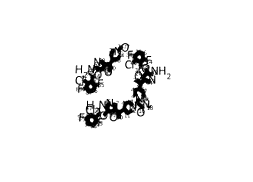 C[C@@H](Oc1c(N)ncc2c(C3=CCN(C(C(=O)N(C)C)N4CC=C(c5coc6c(O[C@H](C)c7c(F)ccc(F)c7Cl)c(N)ncc56)CC4)CC3)coc12)c1c(F)ccc(F)c1Cl.C[C@@H](Oc1c(N)ncc2c(C3=CCN(C=O)CC3)coc12)c1c(F)ccc(F)c1Cl